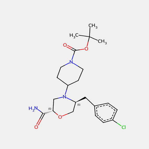 CC(C)(C)OC(=O)N1CCC(N2C[C@@H](C(N)=O)OC[C@@H]2Cc2ccc(Cl)cc2)CC1